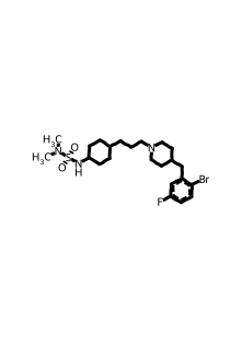 CN(C)S(=O)(=O)NC1CCC(CCCN2CCC(Cc3cc(F)ccc3Br)CC2)CC1